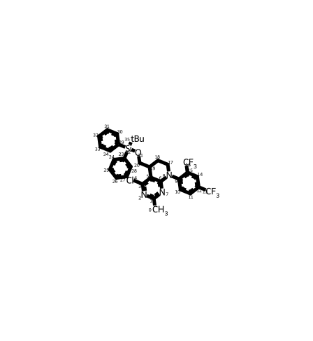 Cc1nc(Cl)c2c(n1)N(c1ccc(C(F)(F)F)cc1C(F)(F)F)CCC2CO[Si](c1ccccc1)(c1ccccc1)C(C)(C)C